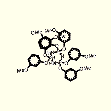 COc1cccc(OP2(Oc3cccc(OC)c3)=N[PH](Oc3cccc(OC)c3)(Oc3cccc(OC)c3)N[PH](Oc3cccc(OC)c3)(Oc3cccc(OC)c3)N2)c1